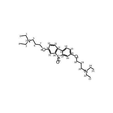 CCN(CC)CCCOc1ccc2c3ccc(OCCCN(CC)CC)cc3[s+]([O-])c2c1